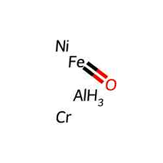 [AlH3].[Cr].[Ni].[O]=[Fe]